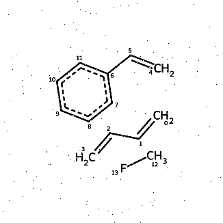 C=CC=C.C=Cc1ccccc1.CF